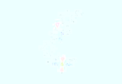 CCCNS(=O)(=O)NC(C)(C)c1cccc(-c2cc(Oc3ccc(C(F)(F)F)cc3)n(CC)n2)c1